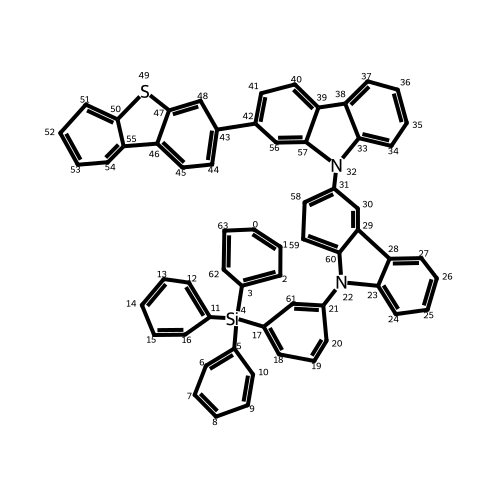 c1ccc([Si](c2ccccc2)(c2ccccc2)c2cccc(-n3c4ccccc4c4cc(-n5c6ccccc6c6ccc(-c7ccc8c(c7)sc7ccccc78)cc65)ccc43)c2)cc1